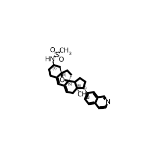 C[C@]12CC=C3C=C4CC[C@@H](NS(C)(=O)=O)C[C@]45CC[C@]3(O5)C1CC[C@@H]2c1ccc2ccncc2c1